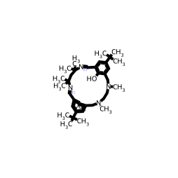 CN1CCN(C)Cc2cc(C(C)(C)C)cc(c2O)/C=N/C(C)(C)CC(C)(C)/N=C/c2cc(C(C)(C)C)cc(c2O)C1